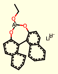 CC[O][Al]1[O]c2ccc3ccccc3c2-c2c(ccc3ccccc23)[O]1.[H-].[Li+]